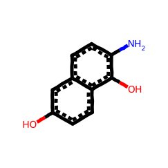 Nc1ccc2cc(O)ccc2c1O